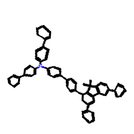 CC1(C)C2=C(C=C(c3ccccc3)CC2c2ccc(-c3ccc(N(c4ccc(C5=CC=CCC5)cc4)c4ccc(-c5ccccc5)cc4)cc3)cc2)c2cc(-c3ccccc3)ccc21